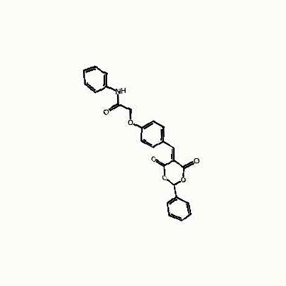 O=C(COc1ccc(C=C2C(=O)OC(c3ccccc3)OC2=O)cc1)Nc1ccccc1